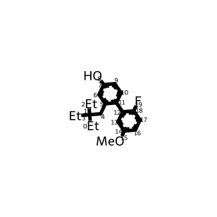 CCC(CC)(CC)Cc1cc(O)ccc1-c1cc(OC)ccc1F